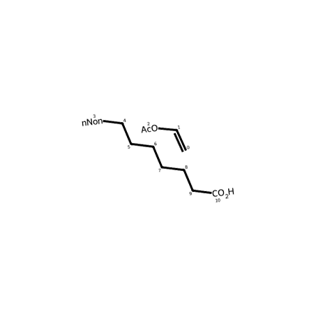 C=COC(C)=O.CCCCCCCCCCCCCCCC(=O)O